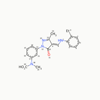 CCc1ccccc1NC=C1C(=O)N(c2cccc(N(C)C(=O)O)c2)N=C1C